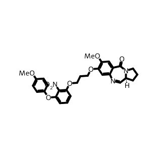 COc1ccc(Oc2cccc(OCCCOc3cc4c(cc3OC)C(=O)N3CCC[C@H]3C=N4)c2[N+](=O)[O-])cc1